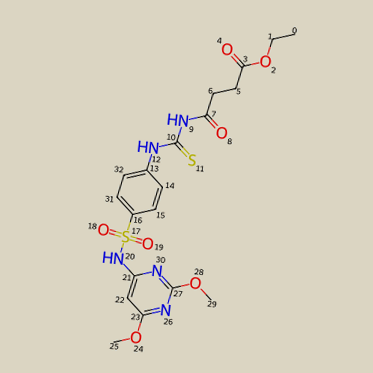 CCOC(=O)CCC(=O)NC(=S)Nc1ccc(S(=O)(=O)Nc2cc(OC)nc(OC)n2)cc1